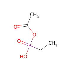 CCP(=O)(O)OC(C)=O